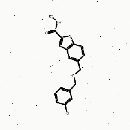 O=C(NO)c1cc2cc(CNCc3cccc(Cl)c3)ccc2s1